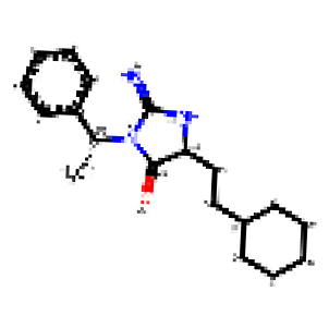 C[C@H](c1ccccc1)N1C(=N)NC(CCC2CCCCC2)C1=O